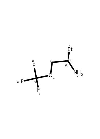 CC[C@@H](N)COC(F)(F)F